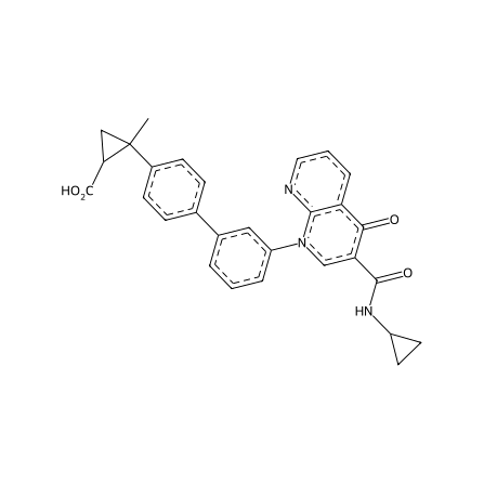 CC1(c2ccc(-c3cccc(-n4cc(C(=O)NC5CC5)c(=O)c5cccnc54)c3)cc2)CC1C(=O)O